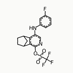 O=S(=O)(Oc1ncc(Nc2cccc(F)c2)c2c1C1CCC2C1)C(F)(F)F